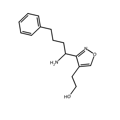 NC(CCCc1ccccc1)c1nocc1CCO